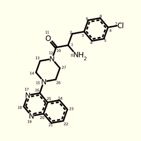 NC(Cc1ccc(Cl)cc1)C(=O)N1CCN(c2ncnc3ccccc23)CC1